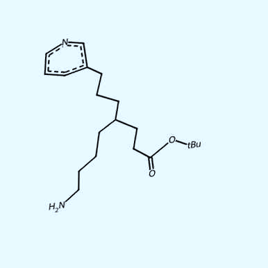 CC(C)(C)OC(=O)CCC(CCCCN)CCCc1cccnc1